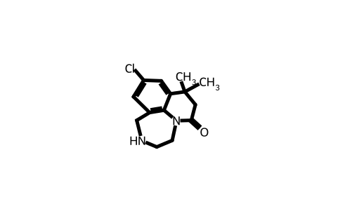 CC1(C)CC(=O)N2CCNCc3cc(Cl)cc1c32